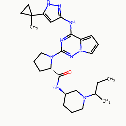 CCC(C)N1CCC[C@@H](NC(=O)[C@@H]2CCCN2c2nc(Nc3cc(C4(C)CC4)[nH]n3)c3cccn3n2)C1